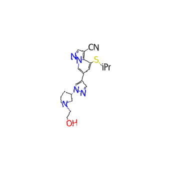 CC(C)Sc1cc(-c2cnn([C@H]3CCCN(CCO)C3)c2)cn2ncc(C#N)c12